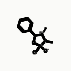 C[C@H]1C(c2ccccc2)O[N+]([O-])(Cl)P1C